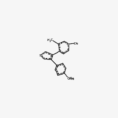 COc1ccc(-c2cscc2-c2ccc(C#N)cc2C)cc1